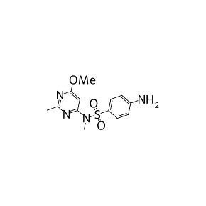 COc1cc(N(C)S(=O)(=O)c2ccc(N)cc2)nc(C)n1